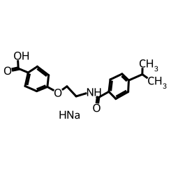 CC(C)c1ccc(C(=O)NCCOc2ccc(C(=O)O)cc2)cc1.[NaH]